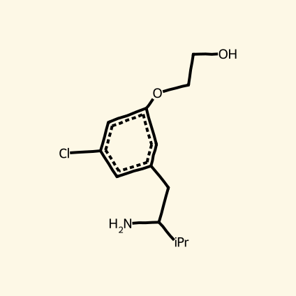 CC(C)C(N)Cc1cc(Cl)cc(OCCO)c1